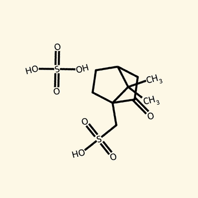 CC1(C)C2CCC1(CS(=O)(=O)O)C(=O)C2.O=S(=O)(O)O